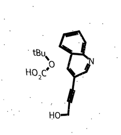 CC(C)(C)OC(=O)O.OCC#Cc1cnc2ccccc2c1